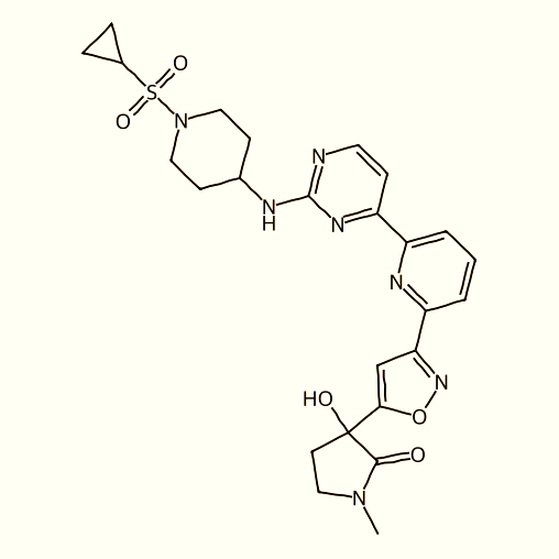 CN1CCC(O)(c2cc(-c3cccc(-c4ccnc(NC5CCN(S(=O)(=O)C6CC6)CC5)n4)n3)no2)C1=O